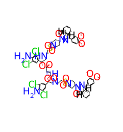 COc1ccc(C2=NN(C3CCN(S(=O)(=O)CCNCC(OC(=O)/C=C/C(=O)OC(CNCCS(=O)(=O)N4CCC(N5N=C(c6ccc(OC)c(OC)c6)[C@H]6CC=CC[C@H]6C5=O)CC4)c4cc(Cl)c(N)c(Cl)c4)c4cc(Cl)c(N)c(Cl)c4)CC3)C(=O)[C@@H]3CC=CC[C@H]23)cc1OC